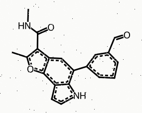 CNC(=O)c1c(C)oc2c1cc(-c1cccc(C=O)c1)c1[nH]ccc12